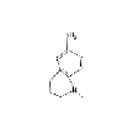 Nc1ccc2c(c1)CCCN2I